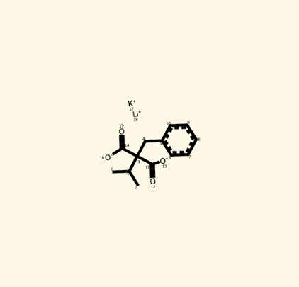 CC(C)C(Cc1ccccc1)(C(=O)[O-])C(=O)[O-].[K+].[Li+]